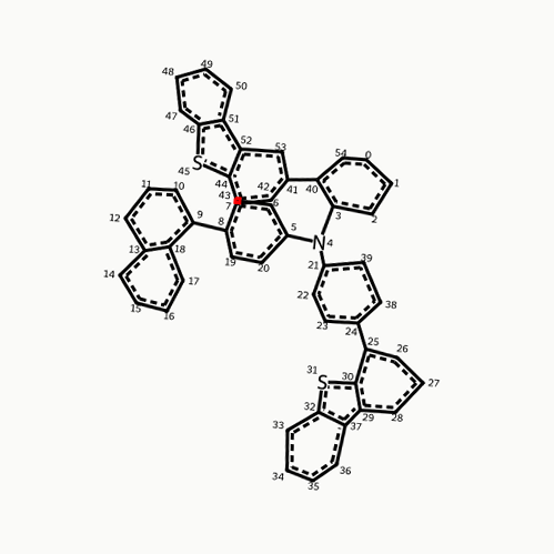 c1ccc(N(c2ccc(-c3cccc4ccccc34)cc2)c2ccc(-c3cccc4c3sc3ccccc34)cc2)c(-c2ccc3sc4ccccc4c3c2)c1